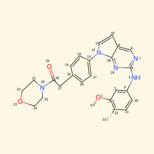 COc1cc(Nc2ncc3ccn(-c4ccc(CC(=O)N5CCOCC5)cc4)c3n2)ccc1F